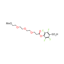 COCCOCCOCCOCCC(=O)Oc1c(F)c(F)c(S(=O)(=O)O)c(F)c1F